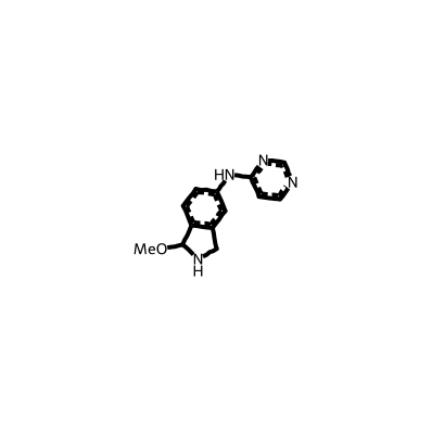 COC1NCc2cc(Nc3ccncn3)ccc21